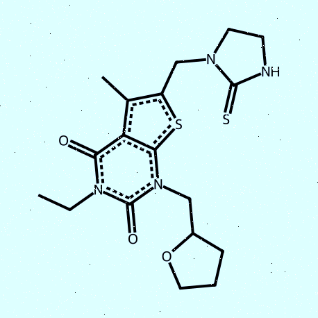 CCn1c(=O)c2c(C)c(CN3CCNC3=S)sc2n(CC2CCCO2)c1=O